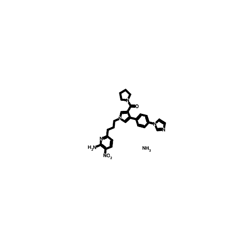 N.Nc1nc(CCCn2cc(C(=O)N3CCCC3)c(-c3ccc(-n4ccnc4)cc3)c2)ccc1[N+](=O)[O-]